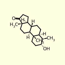 C[C@H]1[C@H](O)CC[C@@]2(C)[C@H]1CC[C@@H]1[C@@H]2CC[C@]2(C)C(=O)CC[C@@H]12